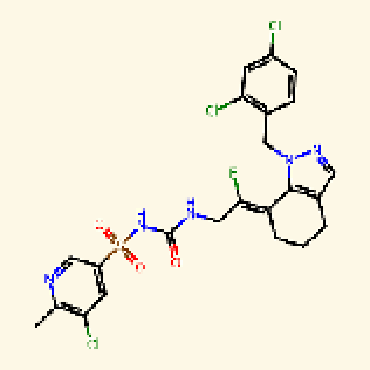 Cc1ncc(S(=O)(=O)NC(=O)NCC(F)=C2CCCc3cnn(Cc4ccc(Cl)cc4Cl)c32)cc1Cl